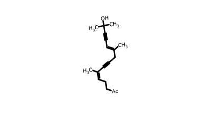 CC(=O)CCC=C(C)C#CCC(C)=CC#CC(C)(C)O